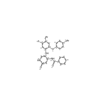 CC(C)c1ccc(Oc2cc(C(C)C)c(F)cc2O)cc1.O=C(Nc1cc[nH]c(=O)c1)c1ccccc1